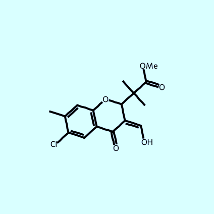 COC(=O)C(C)(C)C1Oc2cc(C)c(Cl)cc2C(=O)C1=CO